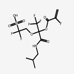 C=C(F)C(=O)OC(OCC(F)(F)S(=O)(=O)O)(C(=O)NCC(C)C)C(F)(F)F